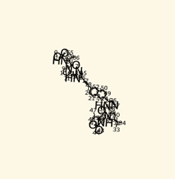 COC(=O)N[C@H](C(=O)N1CCC[C@H]1c1ncc(C#Cc2ccc3cc(-c4cnc([C@@H]5CC(=C(C)C)CN5C(=O)[C@@H](NC(=O)OC)C(C)C)[nH]4)ccc3c2)[nH]1)C(C)C